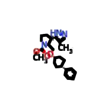 COC(=O)N1CCC[C@H](c2[nH]ncc2C)C1CO[C@H]1CC[C@@H](c2ccccc2)CC1